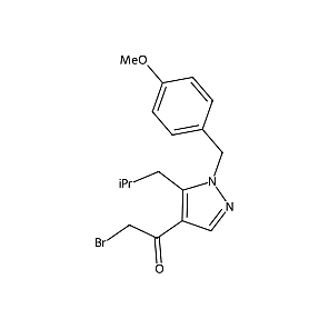 COc1ccc(Cn2ncc(C(=O)CBr)c2CC(C)C)cc1